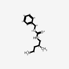 C[C@@H](CCN)CNC(=O)OCc1ccccc1